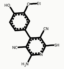 CCOc1cc(-c2c(C#N)c(N)nc(S)c2C#N)ccc1O